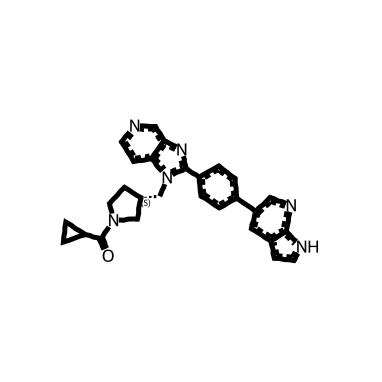 O=C(C1CC1)N1CC[C@H](Cn2c(-c3ccc(-c4cnc5[nH]ccc5c4)cc3)nc3cnccc32)C1